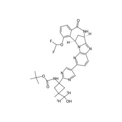 [2H]C([2H])(O)C1(C)CC(NC(=O)OC(C)(C)C)(c2ncc(-c3ccc4nc5n(c4n3)[C@@H]3C[C@H]5NC(=O)c4cccc(OC(F)F)c43)cn2)C1